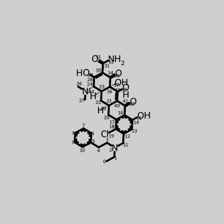 CCN(CCc1ccccc1)Cc1cc(O)c2c(c1Cl)C[C@H]1C[C@H]3[C@H](N(C)C)C(O)=C(C(N)=O)C(=O)[C@@]3(O)C(O)=C1C2=O